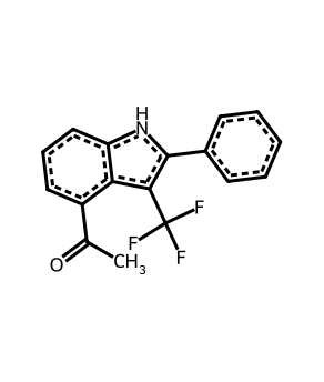 CC(=O)c1cccc2[nH]c(-c3ccccc3)c(C(F)(F)F)c12